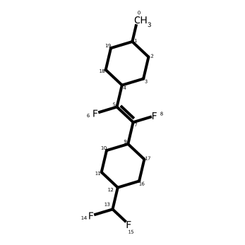 CC1CCC(/C(F)=C(\F)C2CCC(C(F)F)CC2)CC1